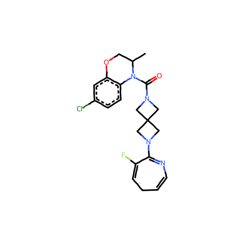 CC1COc2cc(Cl)ccc2N1C(=O)N1CC2(C1)CN(C1=NC=CCC=C1F)C2